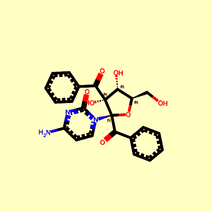 Nc1ccn([C@]2(C(=O)c3ccccc3)O[C@H](CO)[C@@H](O)[C@]2(O)C(=O)c2ccccc2)c(=O)n1